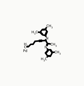 CCCCCC#CC(=N\c1cc(C)cc(C)c1)/C(C)=N/c1cc(C)cc(C)c1.[Pd]